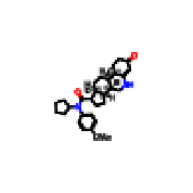 COc1ccc(N(C(=O)C2CC[C@H]3[C@@H]4CNC5=CC(=O)CC[C@]5(C)[C@@H]4CC[C@]23C)C2CCCC2)cc1